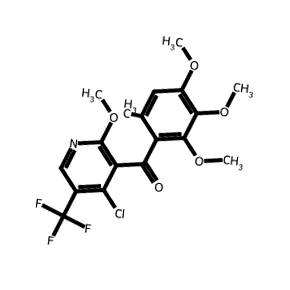 COc1cc(C)c(C(=O)c2c(OC)ncc(C(F)(F)F)c2Cl)c(OC)c1OC